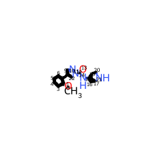 COc1ccccc1-c1cnn(C(=O)NC2CC3CC2CN3)c1